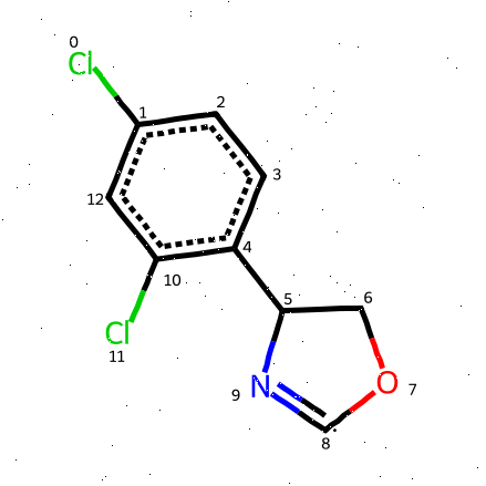 Clc1ccc(C2CO[C]=N2)c(Cl)c1